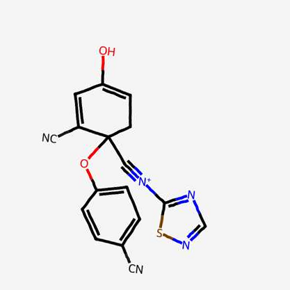 N#CC1=CC(O)=CCC1(C#[N+]c1ncns1)Oc1ccc(C#N)cc1